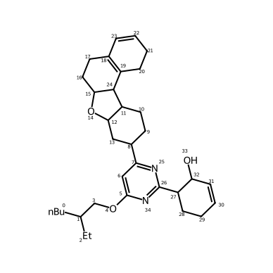 CCCCC(CC)COc1cc(C2CCC3C(C2)OC2CCC4=C(CCC=C4)C23)nc(C2CCC=CC2O)n1